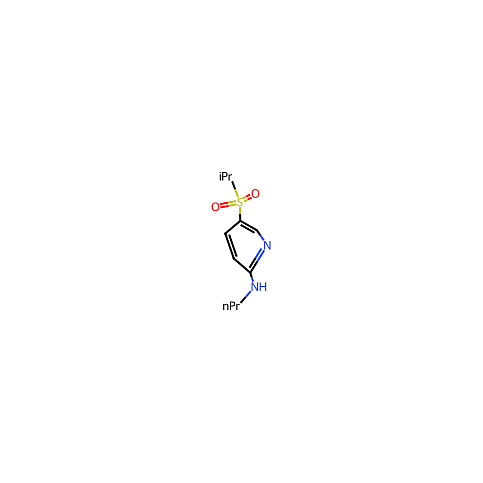 CCCNc1ccc(S(=O)(=O)C(C)C)cn1